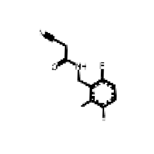 N#CCC(=O)NCc1c(F)ccc(F)c1F